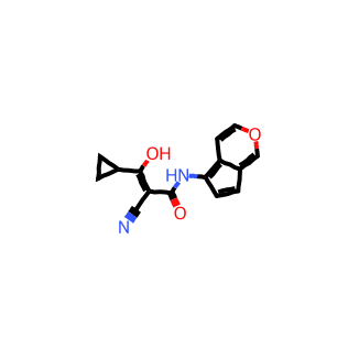 N#CC(C(=O)Nc1ccc2coccc1-2)=C(O)C1CC1